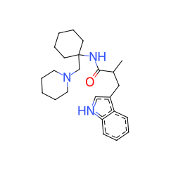 CC(Cc1c[nH]c2ccccc12)C(=O)NC1(CN2CCCCC2)CCCCC1